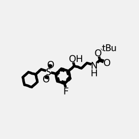 CC(C)(C)OC(=O)NCCC(O)c1cc(F)cc(S(=O)(=O)CC2CCCCC2)c1